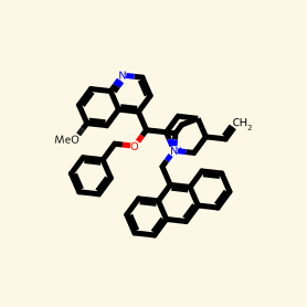 C=CC1C[N+]2(Cc3c4ccccc4cc4ccccc34)CCC1CC2C(OCc1ccccc1)c1ccnc2ccc(OC)cc12